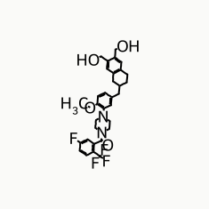 COc1ccc(CC2CCc3cc(CO)c(CO)cc3C2)cc1N1CCN(C(=O)c2cc(F)ccc2C(F)(F)F)CC1